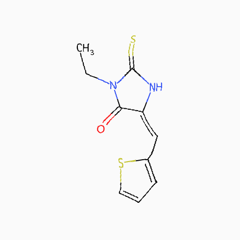 CCN1C(=O)C(=Cc2cccs2)NC1=S